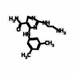 Cc1cc(C)cc(Nc2nc(NCCN)ncc2C(N)=O)c1